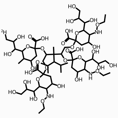 [2H]CC(O)C(O)C1OC(OC(COC2(C(=O)O)CC(O)C(NOCC)C(C(O)C(O)CO)O2)C(C)(C(COC2(C(=O)O)CC(O)C(NOCC)C(C(O)C(O)CO)O2)OC2(C(=O)O)CC(O)C(NOCC)C(C(O)C(O)CO)O2)C(C(C)C)C(C)C)(C(=O)O)CC(O)C1C